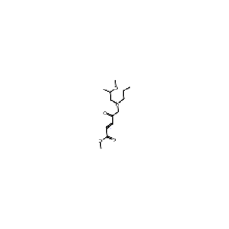 CCCN(CC(=O)/C=C/C(=O)OC)CC(C)OC